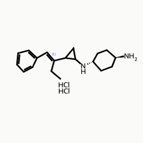 CC/C(=C\c1ccccc1)C1CC1N[C@H]1CC[C@H](N)CC1.Cl.Cl